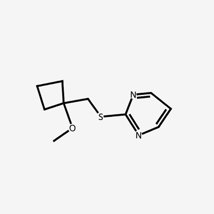 COC1(CSc2ncccn2)CCC1